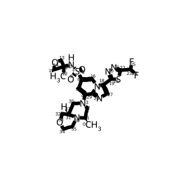 C[C@H]1CN(c2cc(S(=O)(=O)NC3(C)COC3)cn3c(-c4nnc(C(F)F)s4)cnc23)C[C@@H]2COCCN21